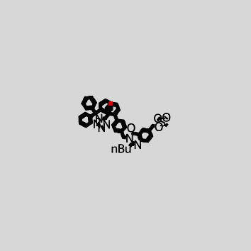 CCCCc1nc2ccc(COS(C)(=O)=O)cc2c(=O)n1Cc1ccc(-c2ccccc2-c2nnnn2C(c2ccccc2)(c2ccccc2)c2ccccc2)cc1